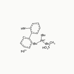 CC(C)(C)[PH+](C(C)(C)C)C(C)(C)C.CS(=O)(=O)O.[NH-]c1ccccc1-c1[c-]cccc1.[Pd+2]